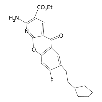 CCOC(=O)c1cc2c(=O)c3cc(CCC4CCCC4)c(F)cc3oc2nc1N